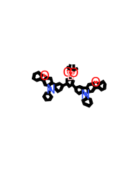 CC1(C)OB(c2cc(-c3ccc4c(c3)c3cc5oc6ccccc6c5cc3n4-c3ccccc3)cc(-c3ccc4c(c3)c3cc5oc6ccccc6c5cc3n4-c3ccccc3)c2)OC1(C)C